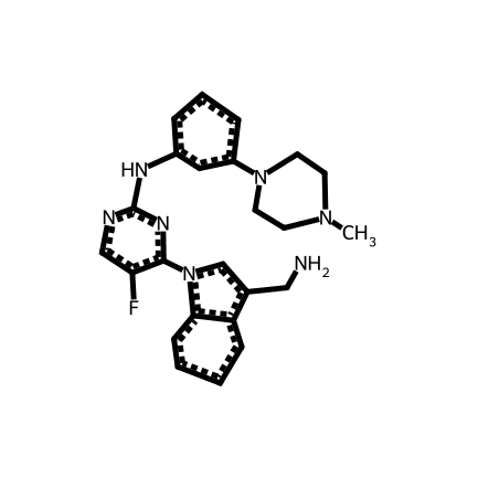 CN1CCN(c2cccc(Nc3ncc(F)c(-n4cc(CN)c5ccccc54)n3)c2)CC1